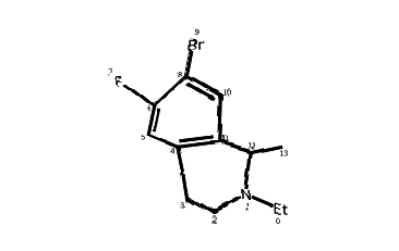 CCN1CCc2cc(F)c(Br)cc2C1C